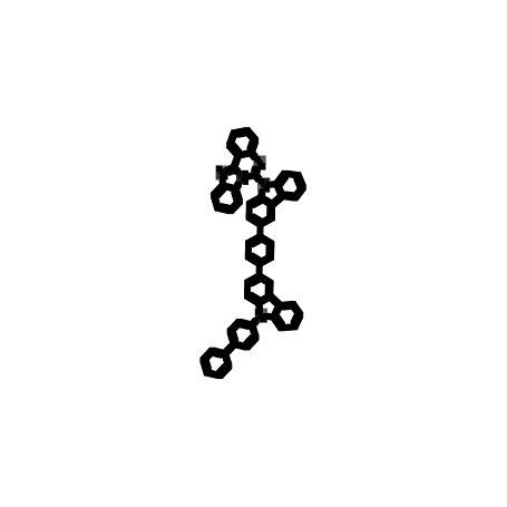 c1ccc(-c2ccc(-n3c4ccccc4c4cc(-c5ccc(-c6ccc7c(c6)c6ccccc6n7-c6nc7ccccc7c7nc8ccccc8n67)cc5)ccc43)cc2)cc1